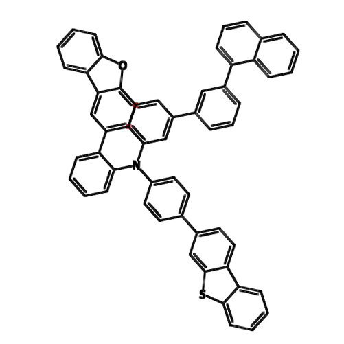 c1cc(-c2cccc(N(c3ccc(-c4ccc5c(c4)sc4ccccc45)cc3)c3ccccc3-c3ccc4oc5ccccc5c4c3)c2)cc(-c2cccc3ccccc23)c1